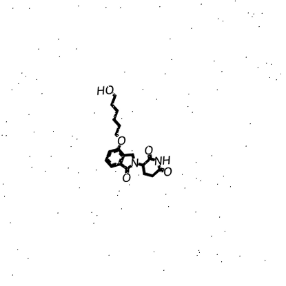 O=C1CCC(N2Cc3c(OCCCCCCO)cccc3C2=O)C(=O)N1